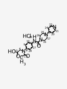 CC(=O)N(CC(=O)O)c1ccc(NC(=O)N2CCN(c3ccncc3)CC2)cc1.Cl